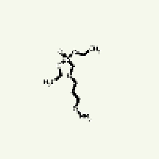 CCOP(=O)(COCCCON)OCC